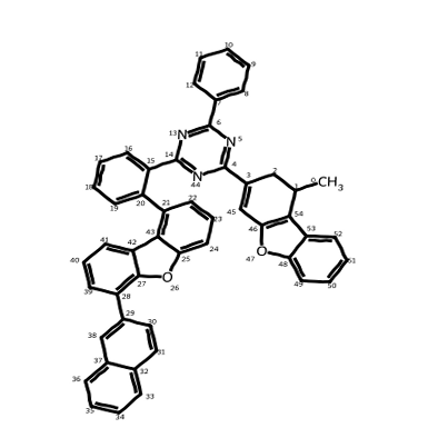 CC1CC(c2nc(-c3ccccc3)nc(-c3ccccc3-c3cccc4oc5c(-c6ccc7ccccc7c6)cccc5c34)n2)=Cc2oc3ccccc3c21